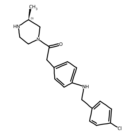 C[C@H]1CN(C(=O)Cc2ccc(NCc3ccc(Cl)cc3)cc2)CCN1